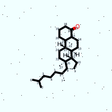 CC(C)CCC[C@@H](C)[C@H]1CC[C@H]2[C@@H]3CCC4C(=O)CCC[C@]4(C)[C@H]3CC[C@]12C